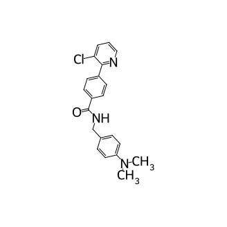 CN(C)c1ccc(CNC(=O)c2ccc(-c3ncccc3Cl)cc2)cc1